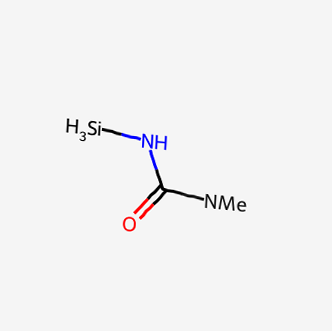 CNC(=O)N[SiH3]